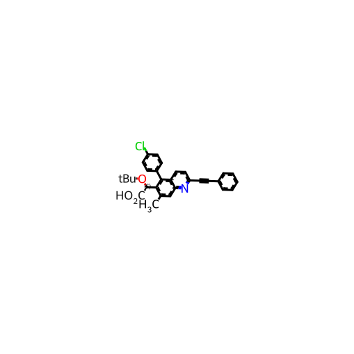 Cc1cc2nc(C#Cc3ccccc3)ccc2c(-c2ccc(Cl)cc2)c1[C@H](OC(C)(C)C)C(=O)O